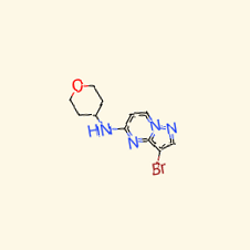 Brc1cnn2ccc(NC3CCOCC3)nc12